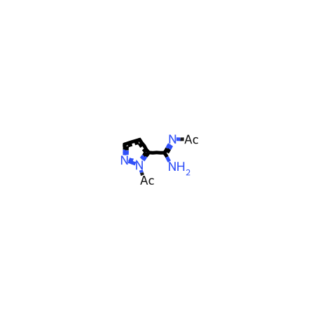 CC(=O)N=C(N)c1ccnn1C(C)=O